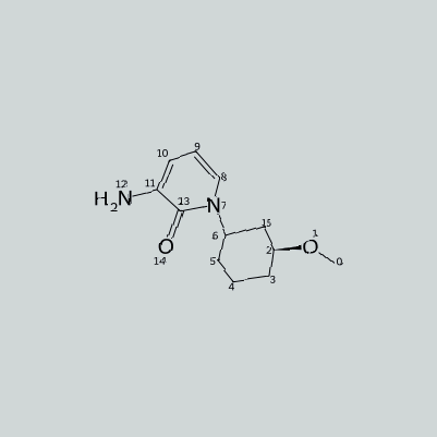 CO[C@H]1CCCC(n2cccc(N)c2=O)C1